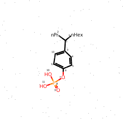 CCCCCCC(CCC)c1ccc(OP(=O)(O)O)cc1